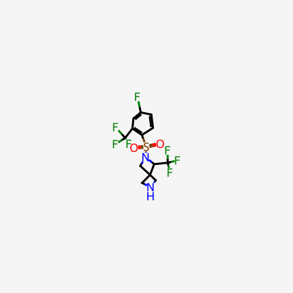 O=S(=O)(c1ccc(F)cc1C(F)(F)F)N1CC2(CNC2)C1C(F)(F)F